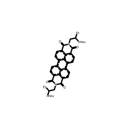 CCCCCCC(CC)CN1C(=O)c2ccc3c4ccc5c6c(ccc(c7ccc(c2c37)C1=O)c64)C(=O)N(CC(CC)CCCCCC)C5=O